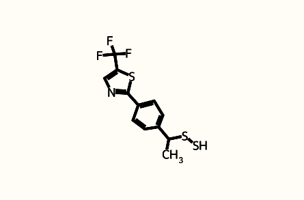 CC(SS)c1ccc(-c2ncc(C(F)(F)F)s2)cc1